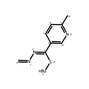 C=N/N=C(\SCCCC)c1ccc(C)nc1